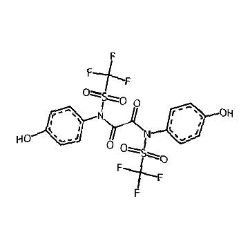 O=C(C(=O)N(c1ccc(O)cc1)S(=O)(=O)C(F)(F)F)N(c1ccc(O)cc1)S(=O)(=O)C(F)(F)F